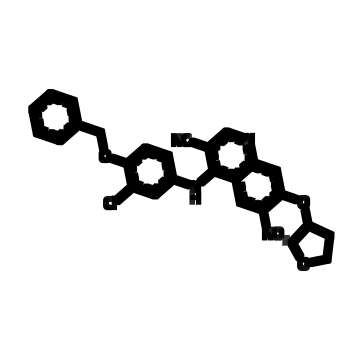 N#Cc1cnc2cc(OC3CCOC3)c([N+](=O)[O-])cc2c1Nc1ccc(OCc2ccccc2)c(Cl)c1